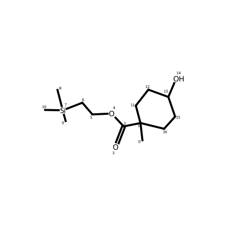 CC1(C(=O)OCC[Si](C)(C)C)CCC(O)CC1